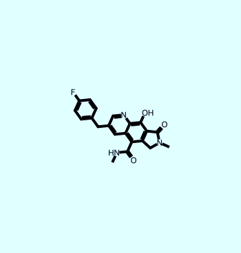 CNC(=O)c1c2c(c(O)c3ncc(Cc4ccc(F)cc4)cc13)C(=O)N(C)C2